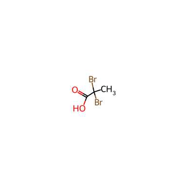 CC(Br)(Br)C(=O)O